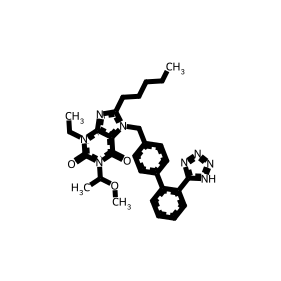 CCCCCc1nc2c(c(=O)n(C(C)OC)c(=O)n2CC)n1Cc1ccc(-c2ccccc2-c2nnn[nH]2)cc1